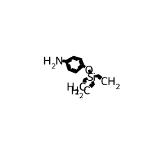 C=C[Si](C=C)(C=C)Oc1ccc(N)cc1